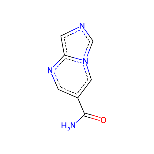 NC(=O)c1cnc2cncn2c1